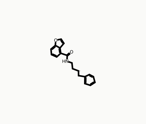 O=C(NCC[CH]Cc1ccccc1)c1cccc2occc12